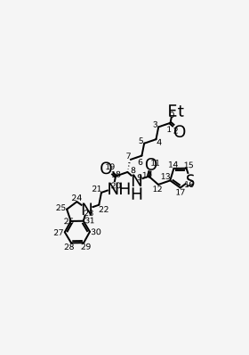 CCC(=O)CCCCC[C@H](NC(=O)Cc1ccsc1)C(=O)NCCN1CCc2ccccc21